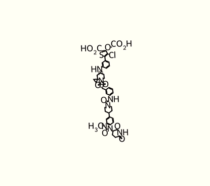 Cn1c(=O)n(C2CCC(=O)NC2=O)c2ccc(C3CCN(C(=O)Nc4cccc(CS(=O)(=O)N5CC[C@@H](Nc6cccc(-c7sc(C(=O)O)c(OCC(=O)O)c7Cl)c6)CC56CC6)c4)CC3)cc21